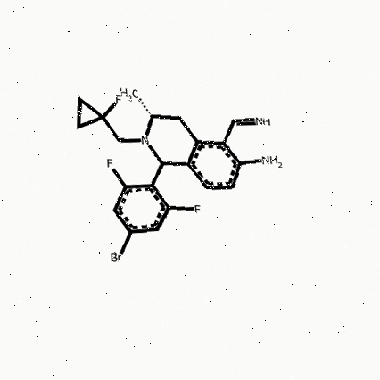 C[C@@H]1Cc2c(ccc(N)c2C=N)C(c2c(F)cc(Br)cc2F)N1CC1(F)CC1